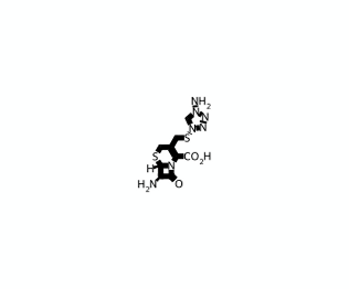 N[C@@H]1C(=O)N2C(C(=O)O)=C(CSN3CN(N)N=N3)CS[C@@H]12